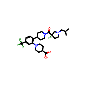 CC(C)CN1CC[C@](F)(C(=O)N2CCC(c3ccc(C(F)(F)F)cc3N3CCC(C(=O)O)CC3)CC2)C1